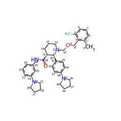 Cc1cccc(F)c1COCN1CCC[C@H](C(=O)Nc2cccc(N3CCCC3)c2)[C@@H]1c1ccc(N2CCCC2)cc1